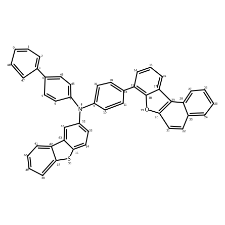 c1ccc(-c2ccc(N(c3ccc(-c4cccc5c4oc4ccc6ccccc6c45)cc3)c3ccc4sc5ccccc5c4c3)cc2)cc1